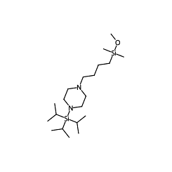 CO[Si](C)(C)CCCCN1CCN([Si](C(C)C)(C(C)C)C(C)C)CC1